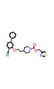 N#Cc1ccc(-c2ccccc2)cc1OCCC1CCN(C(=O)OCc2cscn2)CC1